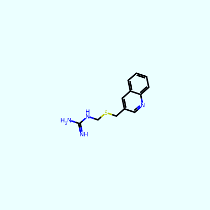 N=C(N)NCSCc1cnc2ccccc2c1